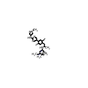 C=C/C(=C\C(=C/C)C(C)(C)F)NC(=C)Cc1cc(F)c(-c2cnc(Nc3cnn(C)c3)nc2)cc1F